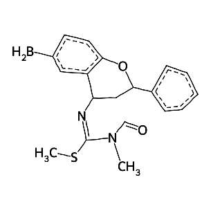 Bc1ccc2c(c1)C(/N=C(/SC)N(C)C=O)CC(c1ccccc1)O2